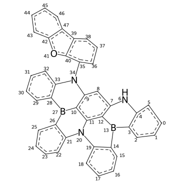 c1ccc2c(c1)Nc1cc3c4c5c1B2c1ccccc1N5c1ccccc1B4c1ccccc1N3c1cccc2c1oc1ccccc12